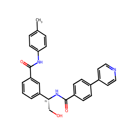 Cc1ccc(NC(=O)c2cccc([C@@H](CO)NC(=O)c3ccc(-c4ccncc4)cc3)c2)cc1